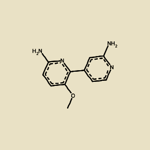 COc1ccc(N)nc1-c1ccnc(N)c1